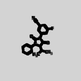 CC(C)C1C(=O)N(c2cc(F)cc(C#N)c2)C(=O)N1C1=CCCC=C1